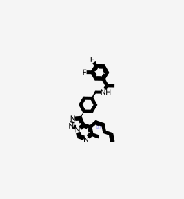 C=CC/C=C\c1c(C)ncn2nnc([C@H]3CC[C@H](CNC(C)c4ccc(F)c(F)c4)CC3)c12